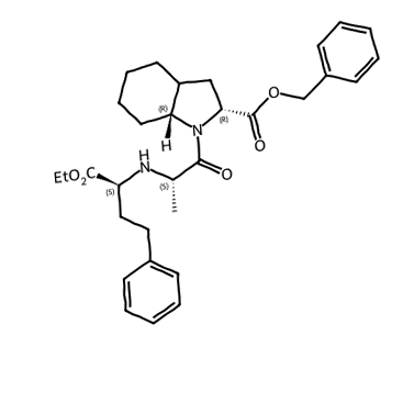 CCOC(=O)[C@H](CCc1ccccc1)N[C@@H](C)C(=O)N1[C@@H](C(=O)OCc2ccccc2)CC2CCCC[C@H]21